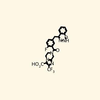 O=C(O)c1c(C(F)(F)F)nc2n1CCN(C(=O)c1cc(CC3=NNOc4ccccc43)ccc1F)C2